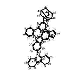 C1=CC(c2nc(-c3ccccc3-n3c4ccccc4c4cc(-n5c6c(c7c5C=CCC7)CCC=C6)ccc43)nc(C34CC5CC(CC(C5)C3)C4)n2)C=C1